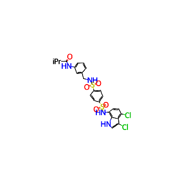 CC(C)C(=O)Nc1cccc(CNS(=O)(=O)c2ccc(S(=O)(=O)Nc3ccc(Cl)c4c(Cl)c[nH]c34)cc2)c1